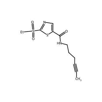 CC#CCCCNC(=O)c1cnc(S(=O)(=O)CC)s1